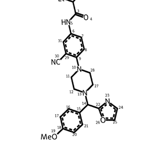 CCC(CC)C(=O)Nc1ccc(N2CCN(C(c3ccc(OC)cc3)c3ncco3)CC2)c(C#N)c1